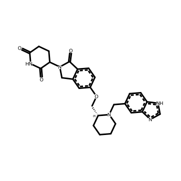 O=C1CCC(N2Cc3cc(OC[C@H]4CCCCN4Cc4ccc5[nH]cnc5c4)ccc3C2=O)C(=O)N1